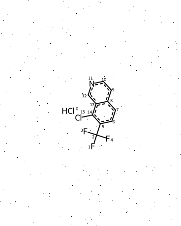 Cl.FC(F)(F)c1ccc2ccncc2c1Cl